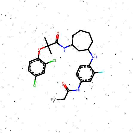 CC(C)(Oc1ccc(Cl)cc1Cl)C(=O)NC1CCCCC(Nc2ccc(NC(=O)CC(F)(F)F)cc2F)C1